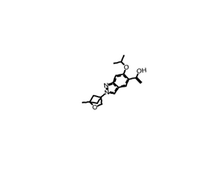 C=C(O)c1cc2cn(C34COC(C)(C3)C4)nc2cc1OC(C)C